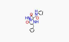 O=C(Nc1ccccc1)c1c(=O)[nH]n2c(=O)cc(Cc3ccccc3)[nH]c12